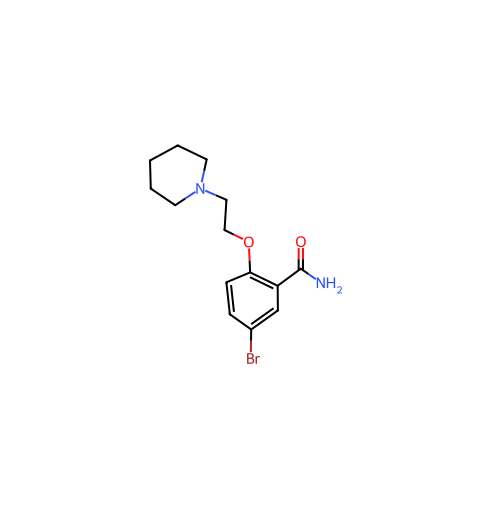 NC(=O)c1cc(Br)ccc1OCCN1CCCCC1